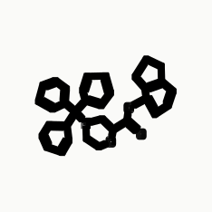 O=C(Oc1cccc2c1CCC2)C1CN(C(c2ccccc2)(c2ccccc2)c2ccccc2)CCO1